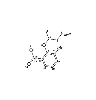 C=CCC(C)Oc1c(Br)cccc1[N+](=O)[O-]